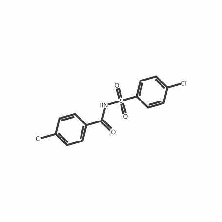 O=C(NS(=O)(=O)c1ccc(Cl)cc1)c1ccc(Cl)cc1